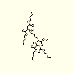 CCCCOC(=O)CC(NCCCCC(NC(CC(=O)OCCCC)C(=O)OCCCC)C(=O)OCC)C(=O)OCCCC